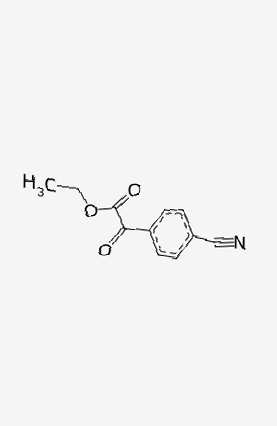 CCOC(=O)C(=O)c1ccc(C#N)cc1